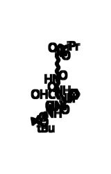 CC(C)C1CC(=O)N(CCCCCC(=O)NCC(=O)NC(C=O)CN[C@@H](Cc2ccccc2)C(=O)NCC(=O)NCOCC2(C(=O)C(C)(C)C)CC2)C1=O